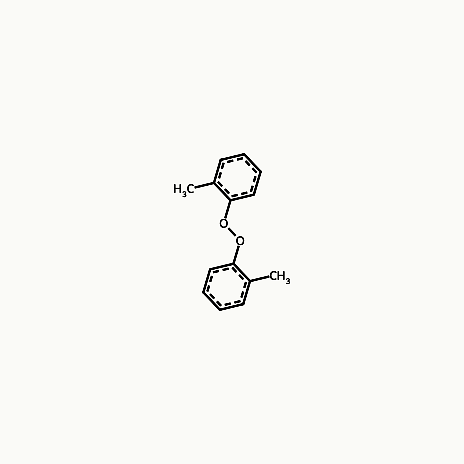 Cc1ccccc1OOc1ccccc1C